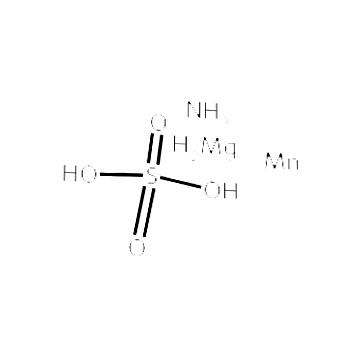 N.O=S(=O)(O)O.[MgH2].[Mn]